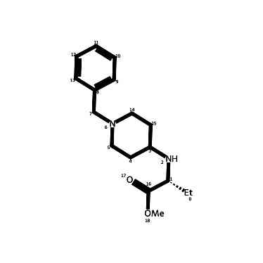 CC[C@@H](NC1CCN(Cc2ccccc2)CC1)C(=O)OC